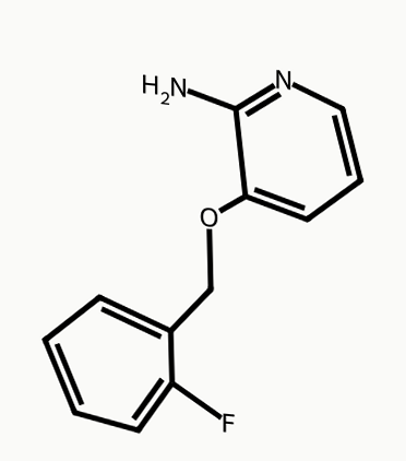 Nc1ncccc1OCc1ccccc1F